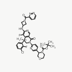 CC(C)(C)OC(=O)N1CCOCC1c1ccc(N2C[C@](C)(c3cccc(Cl)c3F)c3c(cnc(NC4CN(C(=O)c5cccnn5)C4)c3F)C2=O)nc1